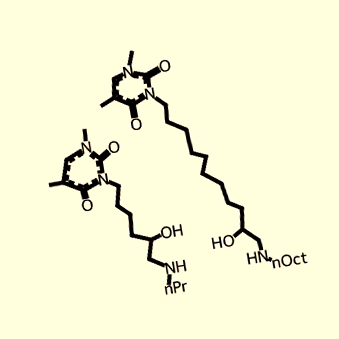 CCCCCCCCNCC(O)CCCCCCCCCn1c(=O)c(C)cn(C)c1=O.CCCNCC(O)CCCCn1c(=O)c(C)cn(C)c1=O